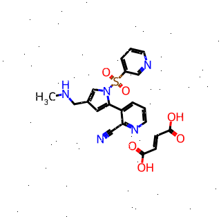 CNCc1cc(-c2cccnc2C#N)n(S(=O)(=O)c2cccnc2)c1.O=C(O)C=CC(=O)O